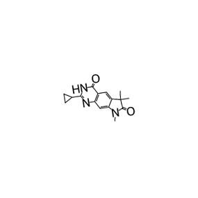 CN1C(=O)C(C)(C)c2cc3c(=O)[nH]c(C4CC4)nc3cc21